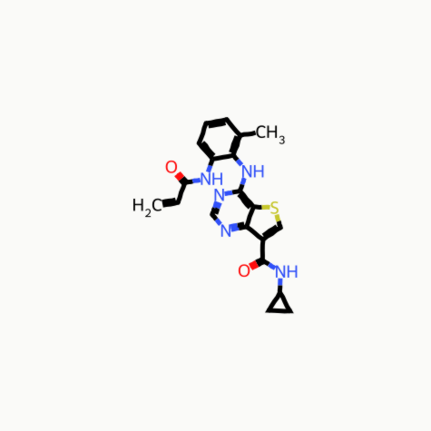 C=CC(=O)Nc1cccc(C)c1Nc1ncnc2c(C(=O)NC3CC3)csc12